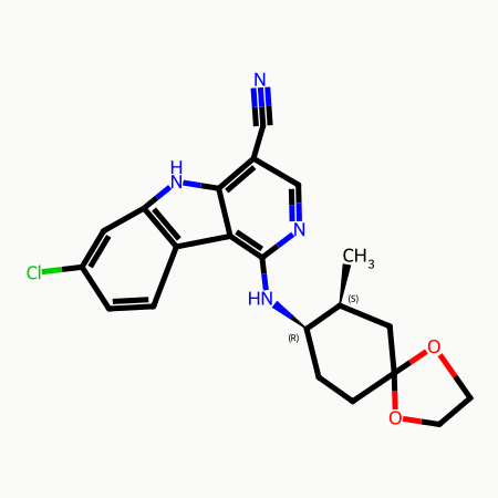 C[C@H]1CC2(CC[C@H]1Nc1ncc(C#N)c3[nH]c4cc(Cl)ccc4c13)OCCO2